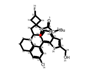 CC(C)(C)OC(=O)N1CC(N2CCCc3cc(Cl)cc(-c4ccnc5cc(CO)sc45)c32)CC12CC(F)C2